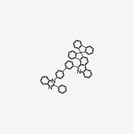 c1ccc(-c2nc3ccccc3n2-c2ccc(-c3cccc(-c4nc5ccccc5c5ccc6c(c45)-c4ccccc4C64c5ccccc5-c5ccccc54)c3)cc2)cc1